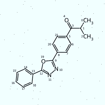 CC(C)C(=O)c1ccc(-c2nnc(-c3ccccc3)o2)cc1